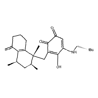 C=C1CCCC2=C1[C@H](C)C[C@H](C)[C@@]2(C)CC1=C(O)C(NC[C@@H](C)CC)=CC(=O)C1=O